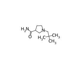 CC(C)(C)CN1CCC(C(N)=O)C1